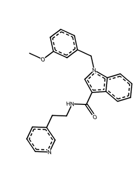 COc1cccc(Cn2cc(C(=O)NCCc3cccnc3)c3ccccc32)c1